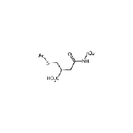 CCCCNC(=O)CC(CSC(C)=O)C(=O)O